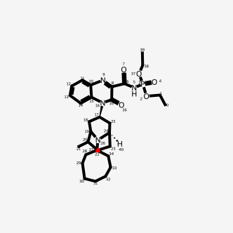 CCOP(=O)(NC(=O)c1nc2ccccc2n([C@@H]2CC3C(C)CC[C@H](C2)N3C2CCCCCCC2)c1=O)OCC